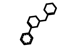 C1=C(CC2CCC=C(c3ccccc3)C2)CCCC1